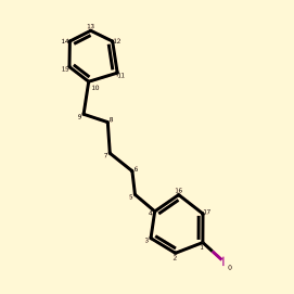 Ic1ccc(CCCCCc2[c]cccc2)cc1